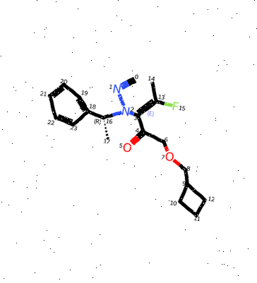 C=NN(/C(C(=O)COCC1CCC1)=C(\C)F)[C@H](C)c1ccccc1